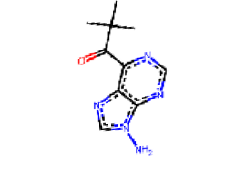 CC(C)(C)C(=O)c1ncnc2c1ncn2N